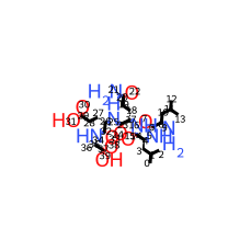 CC(C)C[C@H](NC(=O)[C@@H](N)CC(C)C)C(=O)N[C@@H](CCC(N)=O)C(=O)N[C@@H](CCC(=O)O)C(=O)N[C@@H](C)C(=O)O